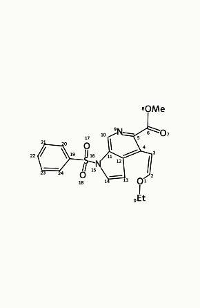 CCO/C=C\c1c(C(=O)OC)ncc2c1ccn2S(=O)(=O)c1ccccc1